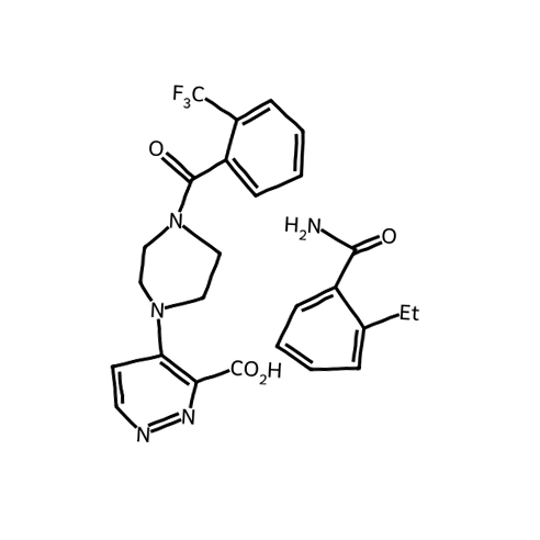 CCc1ccccc1C(N)=O.O=C(O)c1nnccc1N1CCN(C(=O)c2ccccc2C(F)(F)F)CC1